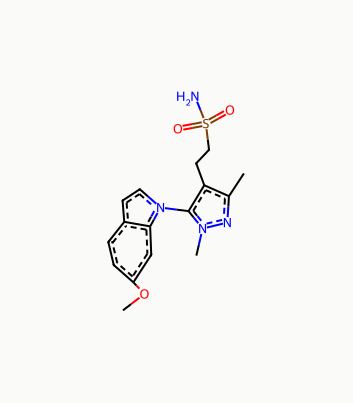 COc1ccc2ccn(-c3c(CCS(N)(=O)=O)c(C)nn3C)c2c1